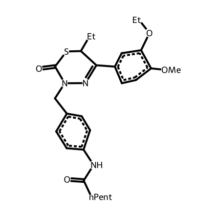 CCCCCC(=O)Nc1ccc(CN2N=C(c3ccc(OC)c(OCC)c3)C(CC)SC2=O)cc1